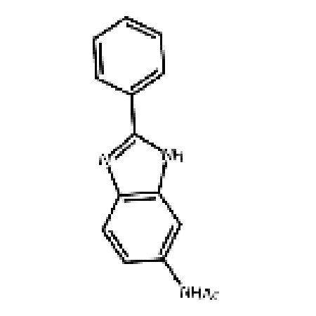 CC(=O)Nc1ccc2nc(-c3ccccc3)[nH]c2c1